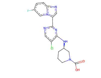 O=C(O)N1CCC[C@@H](Nc2nc(-c3cnc4ccc(F)cn34)ncc2Cl)C1